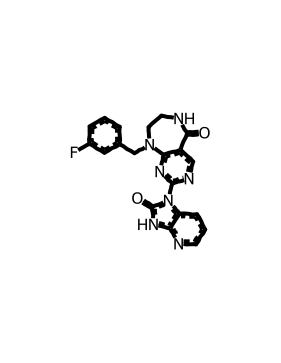 O=C1NCCN(Cc2cccc(F)c2)c2nc(-n3c(=O)[nH]c4ncccc43)ncc21